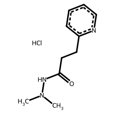 CN(C)NC(=O)CCc1ccccn1.Cl